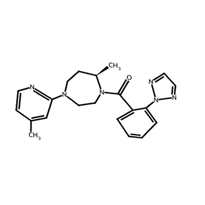 Cc1ccnc(N2CC[C@@H](C)N(C(=O)c3ccccc3-n3nccn3)CC2)c1